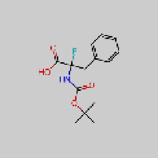 CC(C)(C)OC(=O)NC(F)(Cc1ccccc1)C(=O)O